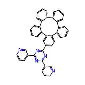 c1cncc(-c2nc(-c3cccnc3)nc(-c3ccc4c5ccccc5c5ccccc5c5ccccc5c5ccccc5c4c3)n2)c1